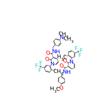 COc1ccc(CNC(=O)c2cccn(-c3cc(C(F)(F)F)ccc3C)c2=O)cc1.Cc1ccc(C(F)(F)F)cc1-n1cccc(C(=O)NCc2ccc(N(C)C)cc2)c1=O